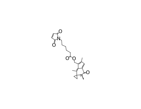 CC1=C(COC(=O)CCCCCN2C(=O)C=CC2=O)C2=C(C)C3(CC3)[C@H](C)C(=O)C2=C1